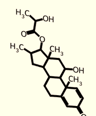 CC(O)C(=O)OC1C(C)CC2C3CCC4=CC(=O)C=CC4(C)C3C(O)CC21C